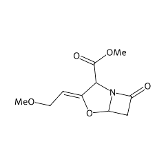 COC/C=C1\OC2CC(=O)N2C1C(=O)OC